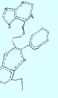 CCc1cccc2cc(CSc3ncnc4nc[nH]c34)c(-c3ccccc3)nc12